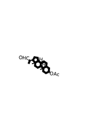 CC(=O)O[C@H]1CC[C@@]2(C)C(CC=C3[C@@H]4CC[C@H](C(C)C=O)[C@@]4(C)CC[C@@H]32)C1